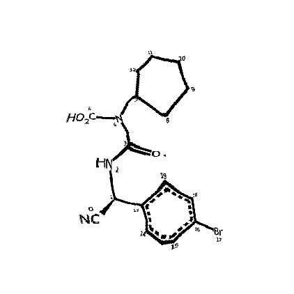 N#C[C@@H](NC(=O)N(C(=O)O)C1CCCCC1)c1ccc(Br)cc1